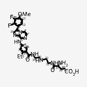 CCc1cc(Nc2nccn3c(-c4ccc(OC)c(F)c4F)cnc23)ccc1C(=O)NCCNCCNC(=O)C(N)CCC(=O)O